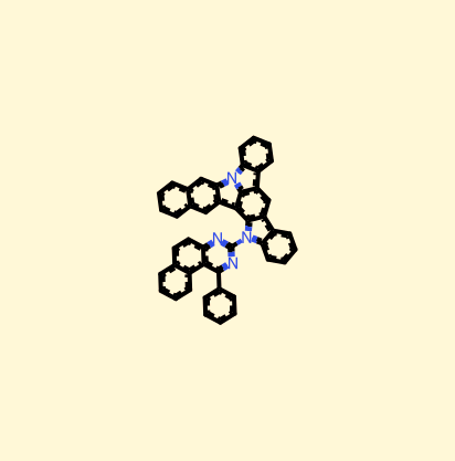 c1ccc(-c2nc(-n3c4ccccc4c4cc5c6ccccc6n6c7cc8ccccc8cc7c(c43)c56)nc3ccc4ccccc4c23)cc1